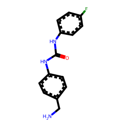 NCc1ccc(NC(=O)Nc2ccc(F)cc2)cc1